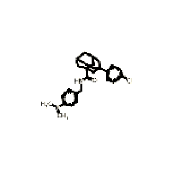 CN(C)c1ccc(CNC(=O)C23CC4CC(C2)CC(c2ccc(Cl)cc2)(C4)C3)cc1